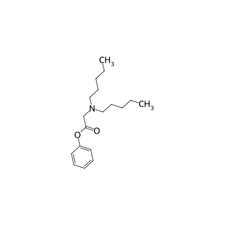 CCCCCN(CCCCC)CC(=O)Oc1ccccc1